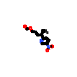 CC(CCCOC=O)c1ccc([N+](=O)[O-])cn1